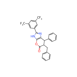 O=C1Oc2[nH]c(-c3cc(C(F)(F)F)cc(C(F)(F)F)c3)nc2C(c2ccccc2)C1Cc1ccccc1